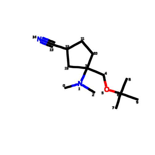 CN(C)C1(COC(C)(C)C)CCC(C#N)C1